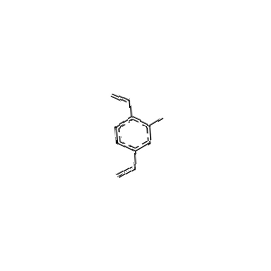 C=Cc1ccc(C=C)c(C)c1